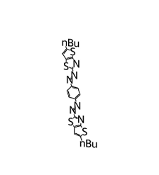 CCCCc1cc2sc(N=Nc3ccc(N=Nc4nc5sc(CCCC)cc5s4)cc3)nc2s1